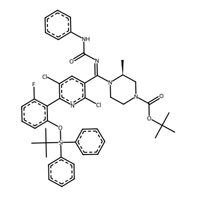 C[C@H]1CN(C(=O)OC(C)(C)C)CCN1C(=NC(=O)Nc1ccccc1)c1cc(Cl)c(-c2c(F)cccc2O[Si](c2ccccc2)(c2ccccc2)C(C)(C)C)nc1Cl